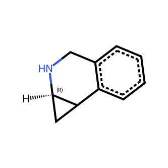 c1ccc2c(c1)CN[C@@H]1CC21